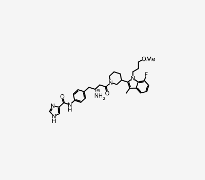 COCCCn1c(C2CCCN(C(=O)C[C@H](N)Cc3ccc(NC(=O)c4c[nH]cn4)cc3)C2)c(C)c2cccc(F)c21